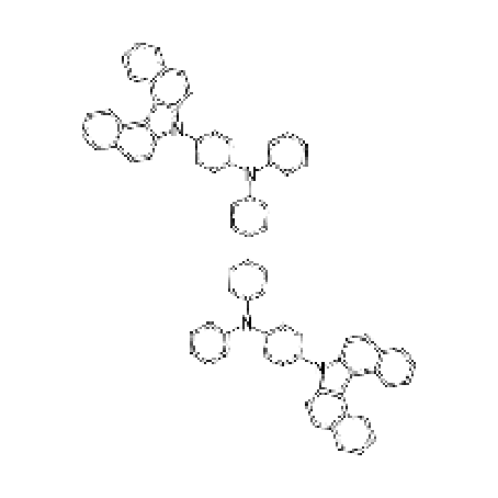 c1ccc(N(c2ccc(-c3ccc(N(c4ccccc4)c4ccc(-n5c6ccc7ccccc7c6c6c7ccccc7ccc65)cc4)cc3)cc2)c2ccc(-n3c4ccc5ccccc5c4c4c5ccccc5ccc43)cc2)cc1